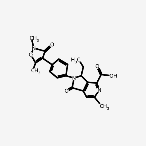 CCC1c2c(cc(C)nc2C(=O)O)C(=O)N1c1ccc(-c2c(C)on(C)c2=O)cc1